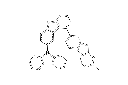 Cc1ccc2c(c1)oc1cc(-c3cccc4oc5ccc(-n6c7ccccc7c7ccccc76)cc5c34)ccc12